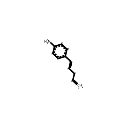 C=CC/C=C/c1ccc(N)cc1